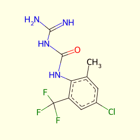 Cc1cc(Cl)cc(C(F)(F)F)c1NC(=O)NC(=N)N